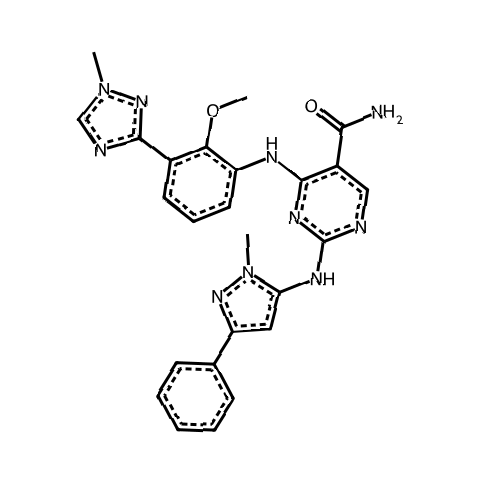 COc1c(Nc2nc(Nc3cc(-c4ccccc4)nn3C)ncc2C(N)=O)cccc1-c1ncn(C)n1